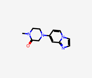 CN1CCN(c2ccn3ccnc3c2)CC1=O